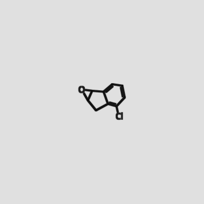 Clc1cccc2c1CC1OC21